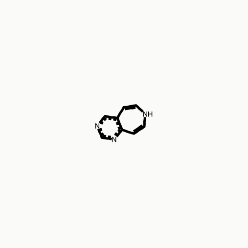 C1=Cc2cncnc2C=CN1